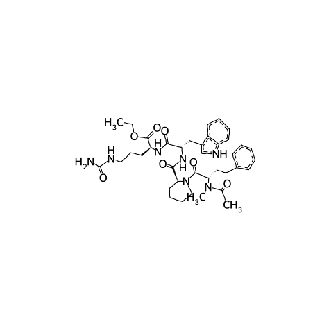 CCOC(=O)[C@H](CCCNC(N)=O)NC(=O)[C@H](Cc1c[nH]c2ccccc12)NC(=O)[C@@H]1CCCCN1C(=O)[C@H](CCc1ccccc1)N(C)C(C)=O